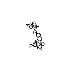 CCOC(=O)NC1CCc2ccc(OCCNS(=O)(=O)CC3CC3)cc2C1Cc1cc(F)cc(F)c1